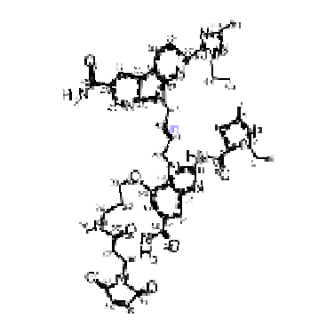 CCn1nc(C)cc1C(=O)Nc1nc2cc(C(N)=O)cc(OCCCN(C)C(=O)CCN3C(=O)C=CC3=O)c2n1C/C=C/Cn1c2ncc(C(N)=O)cc2c2ccc(-c3nc(C)nn3CC)nc21